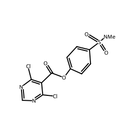 CNS(=O)(=O)c1ccc(OC(=O)c2c(Cl)ncnc2Cl)cc1